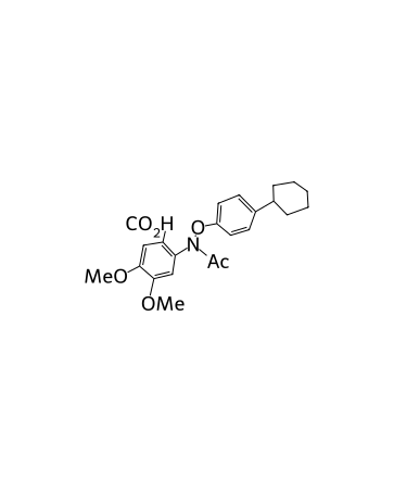 COc1cc(C(=O)O)c(N(Oc2ccc(C3CCCCC3)cc2)C(C)=O)cc1OC